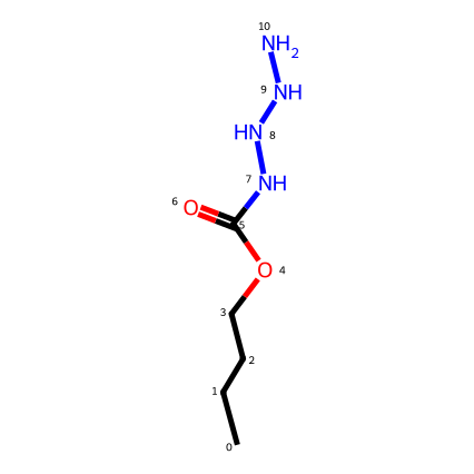 CCCCOC(=O)NNNN